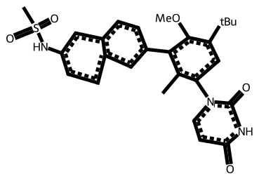 COc1c(C(C)(C)C)cc(-n2ccc(=O)[nH]c2=O)c(C)c1-c1ccc2cc(NS(C)(=O)=O)ccc2c1